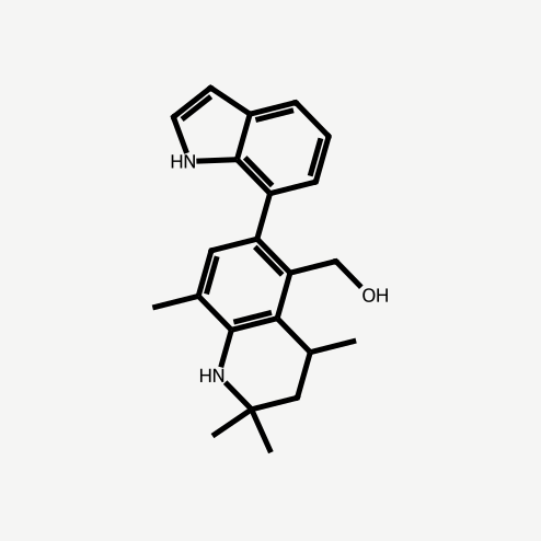 Cc1cc(-c2cccc3cc[nH]c23)c(CO)c2c1NC(C)(C)CC2C